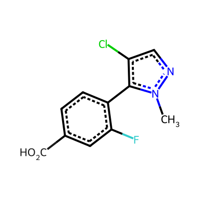 Cn1ncc(Cl)c1-c1ccc(C(=O)O)cc1F